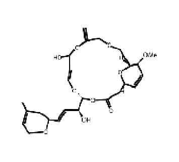 C=C1CCC[C@H]2O[C@@H](C=C[C@@H]2OC)CC(=O)O[C@H]([C@@H](O)/C=C/[C@@H]2CC(C)=CCO2)C/C=C/C(O)C1